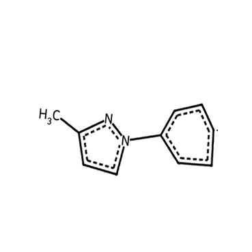 Cc1ccn(-c2cc[c]cc2)n1